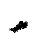 CCOC(=O)C1=C(CN2CC[C@]3(F)C(=O)N(c4cnc(C(=O)O)c(C)c4)C[C@@H]3C2)NC(c2nccs2)=N[C@H]1c1cccc(F)c1C